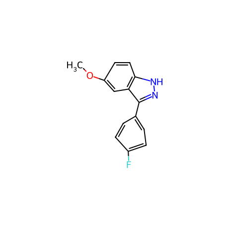 COc1ccc2[nH]nc(-c3ccc(F)cc3)c2c1